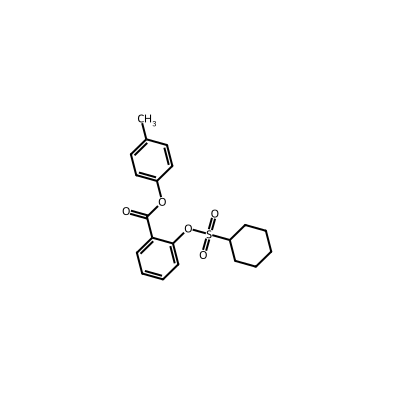 Cc1ccc(OC(=O)c2ccccc2OS(=O)(=O)C2CCCCC2)cc1